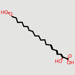 O=C(O)C(O)=CC=CC=CCCCCCCCCCCCCCOO